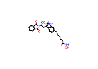 O=C(CCCCCc1ccc2c(C[C@@H](C(=O)O)N3C(=O)c4ccccc4C3=O)c[nH]c2c1)NO